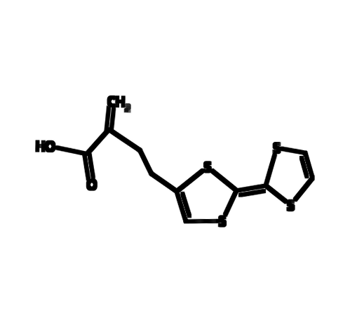 C=C(CCC1=CSC(=C2SC=CS2)S1)C(=O)O